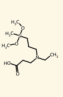 CCN(CCC[Si](C)(OC)OC)CCC(=O)O